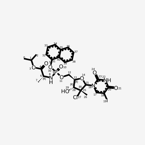 CC(C)OC(=O)[C@@H](C)NP(=O)(OC[C@H]1OC(n2cc(I)c(=O)[nH]c2=O)[C@](C)(Cl)[C@@H]1O)Oc1cccc2ccccc12